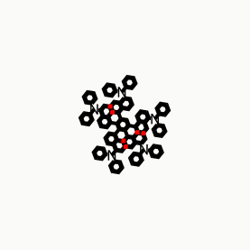 c1ccc(N(c2ccccc2)c2cccc3c(-c4cc(-c5cccc6c(N(c7ccccc7)c7ccccc7)cccc56)c(-c5cccc6c(N(c7ccccc7)c7ccccc7)cccc56)c(-c5cccc6c(N(c7ccccc7)c7ccccc7)cccc56)c4-c4cccc5c(N(c6ccccc6)c6ccccc6)cccc45)cccc23)cc1